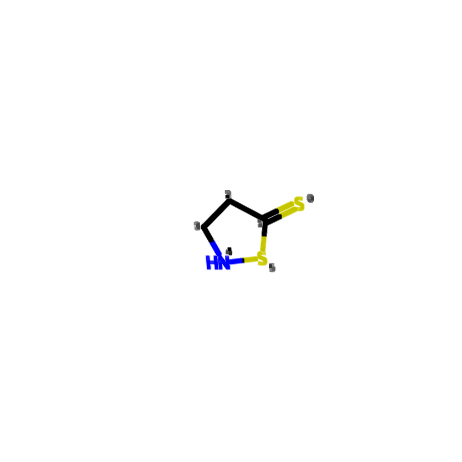 S=C1CCNS1